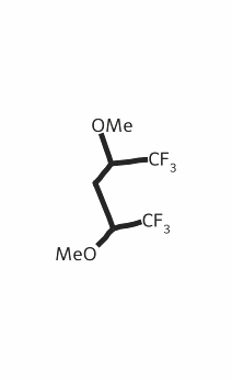 COC(CC(OC)C(F)(F)F)C(F)(F)F